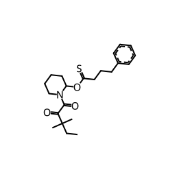 CCC(C)(C)C(=O)C(=O)N1CCCCC1OC(=S)CCCc1ccccc1